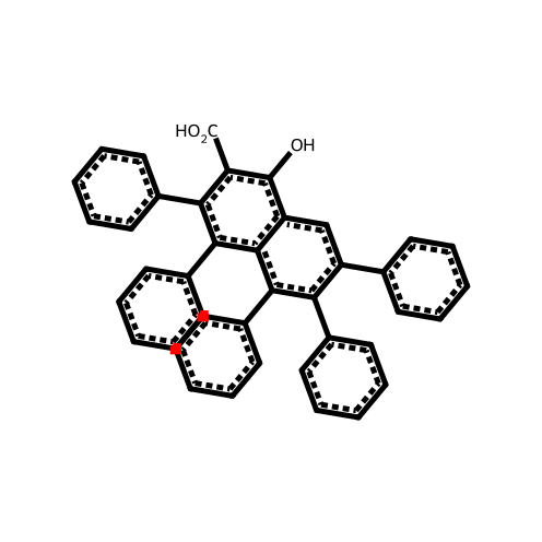 O=C(O)c1c(-c2ccccc2)c(-c2ccccc2)c2c(-c3ccccc3)c(-c3ccccc3)c(-c3ccccc3)cc2c1O